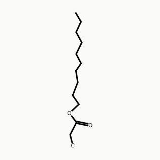 CCCCCCCCCCOC(=O)CCl